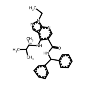 CCn1ncc2c(N[C@@H](C)C(C)C)c(C(=O)NC(c3ccccc3)c3ccccc3)cnc21